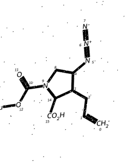 C=CCC1C(N=[N+]=[N-])CN(C(=O)OC(C)(C)C)C1C(=O)O